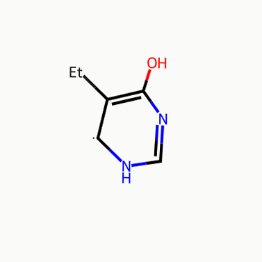 CCC1=C(O)N=CN[CH]1